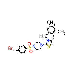 Cc1cc(C)c(Cc2csc(N3CCN(S(=O)(=O)c4ccc(CBr)cc4)CC3)n2)c(C)c1